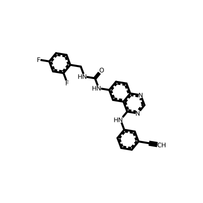 C#Cc1cccc(Nc2ncnc3ccc(NC(=O)NCc4ccc(F)cc4F)cc23)c1